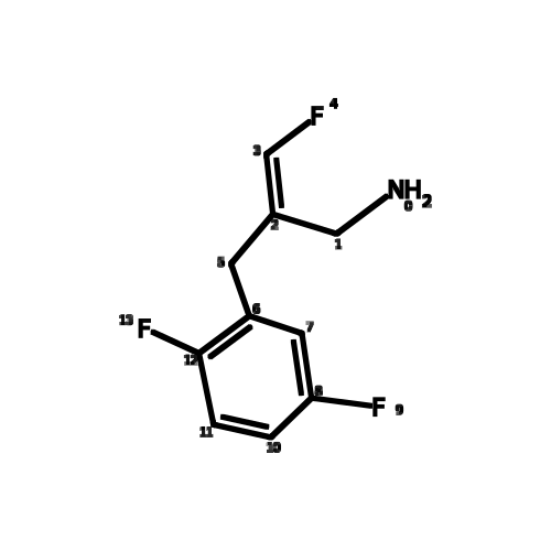 NC/C(=C\F)Cc1cc(F)ccc1F